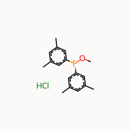 COP(c1cc(C)cc(C)c1)c1cc(C)cc(C)c1.Cl